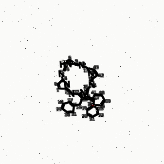 C1=Cc2nc1nc1ccc(nc3nc(nc4c(Cc5ccccc5)c(Cc5ccccc5)c(n2)n4Cc2ccccc2)C=C3)[nH]1